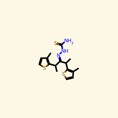 Cc1ccsc1C(C)C(=NNC(N)=S)C(C)c1sccc1C